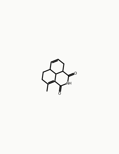 CC1=C2C(=O)NC(=O)C3CC=CC(CC1)C23